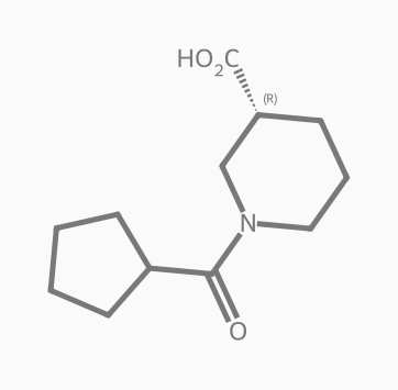 O=C(O)[C@@H]1CCCN(C(=O)C2CCCC2)C1